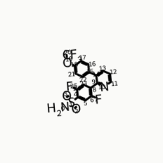 NS(=O)(=O)c1cc(F)c(-c2ncccc2-c2ccc(OC(F)(F)F)cc2)cc1F